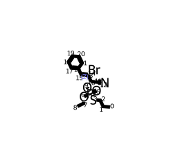 CCCSP(=O)(OCC)OC(C#N)/C(Br)=C/c1ccccc1